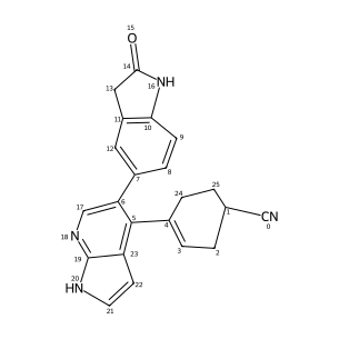 N#CC1CC=C(c2c(-c3ccc4c(c3)CC(=O)N4)cnc3[nH]ccc23)CC1